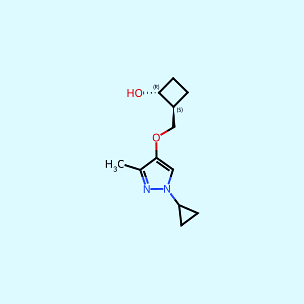 Cc1nn(C2CC2)cc1OC[C@@H]1CC[C@H]1O